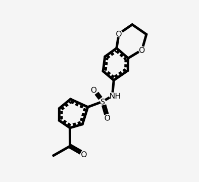 CC(=O)c1cccc(S(=O)(=O)Nc2ccc3c(c2)OCCO3)c1